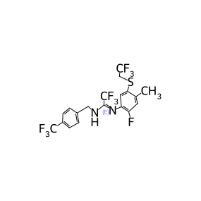 Cc1cc(F)c(/N=C(/NCc2ccc(C(F)(F)F)cc2)C(F)(F)F)cc1SCC(F)(F)F